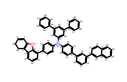 C1=Cc2oc3c(-c4ccc(N(c5ccc(-c6cccc(-c7ccc8ccccc8c7)c6)cc5)c5cc(-c6ccccc6)cc(-c6ccccc6)c5)cc4)cccc3c2CC1